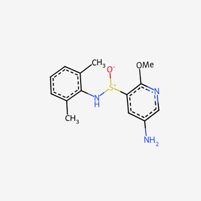 COc1ncc(N)cc1[S+]([O-])Nc1c(C)cccc1C